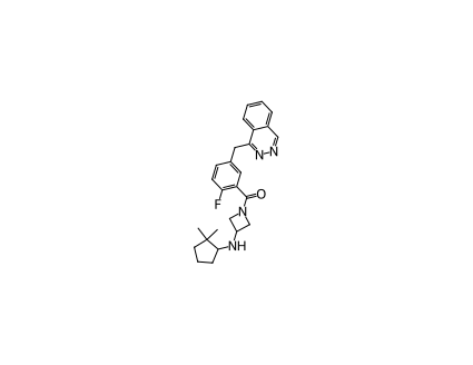 CC1(C)CCCC1NC1CN(C(=O)c2cc(Cc3nncc4ccccc34)ccc2F)C1